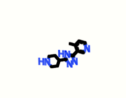 Cc1ccncc1-c1nnc(C2CCNCC2)[nH]1